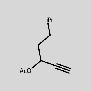 C#CC(CCC(C)C)OC(C)=O